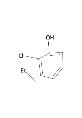 CCC.Oc1ccccc1Cl